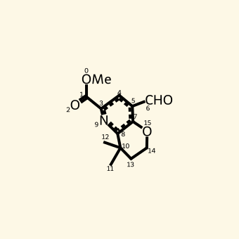 COC(=O)c1cc(C=O)c2c(n1)C(C)(C)CCO2